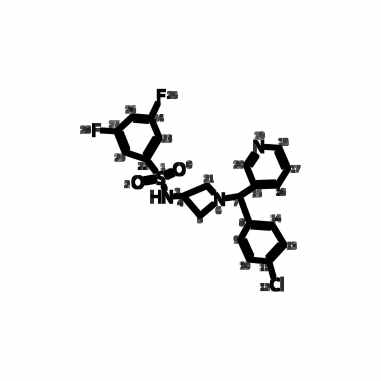 O=S(=O)(NC1CN(C(c2ccc(Cl)cc2)c2cccnc2)C1)c1cc(F)cc(F)c1